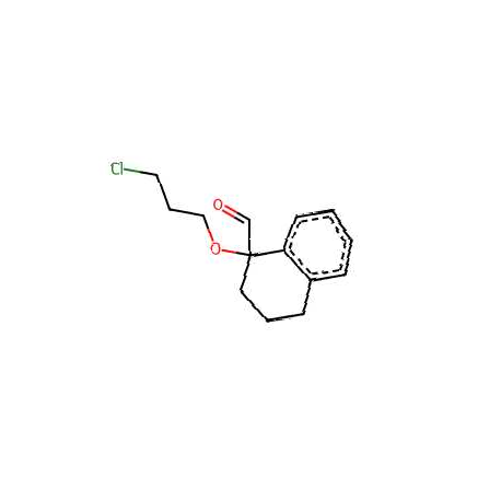 O=CC1(OCCCCl)CCCc2ccccc21